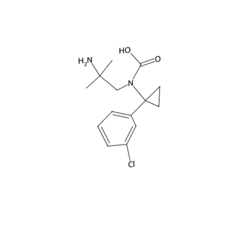 CC(C)(N)CN(C(=O)O)C1(c2cccc(Cl)c2)CC1